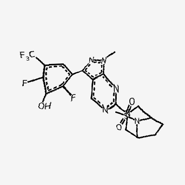 Cn1nc(-c2cc(C(F)(F)F)c(F)c(O)c2F)c2cnc(N3CC4CCC(C3)N4S(C)(=O)=O)nc21